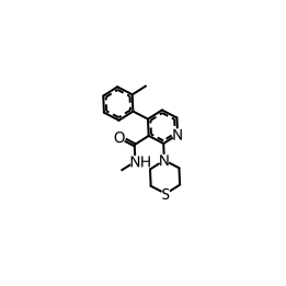 CNC(=O)c1c(-c2ccccc2C)ccnc1N1CCSCC1